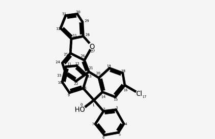 OC(c1ccccc1)(c1ccccc1)c1cc(Cl)ccc1-c1cccc2c1oc1ccccc12